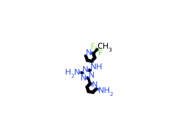 CC(F)(F)c1cc(Nc2nc(N)nc(-c3cccc(N)n3)n2)ccn1